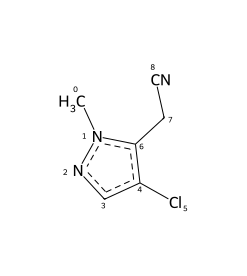 Cn1ncc(Cl)c1CC#N